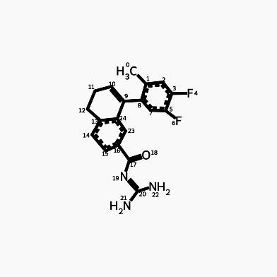 Cc1cc(F)c(F)cc1C1=CCCc2ccc(C(=O)N=C(N)N)cc21